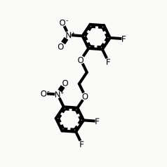 O=[N+]([O-])c1ccc(F)c(F)c1OCCOc1c([N+](=O)[O-])ccc(F)c1F